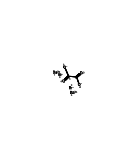 O=C([O-])C(=O)[O-].[Ba+2].[Ba+2].[Br-].[Br-]